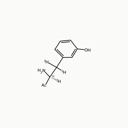 [2H]C([2H])(c1cccc(O)c1)[C@]([2H])(N)C(C)=O